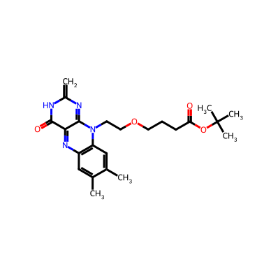 C=c1nc2c(c(=O)[nH]1)=Nc1cc(C)c(C)cc1N2CCOCCCC(=O)OC(C)(C)C